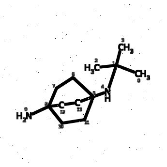 CC(C)(C)NC12CCC(N)(CC1)CC2